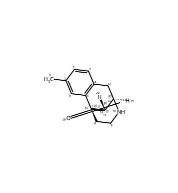 Cc1ccc2c(c1)[C@]13CCN[C@H](C2)[C@@H]1CCCC3=O